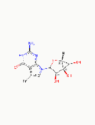 CCc1cn(C2O[C@@H]3C(O)[C@]3(O)[C@H]2O)c2nc(N)[nH]c(=O)c12